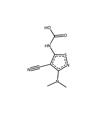 CN(C)c1nsc(NC(=O)O)c1C#N